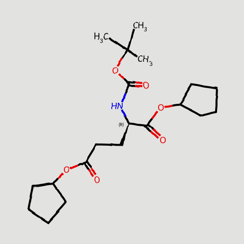 CC(C)(C)OC(=O)N[C@H](CCC(=O)OC1CCCC1)C(=O)OC1CCCC1